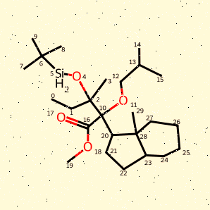 CCC(C)(O[SiH2]C(C)(C)C)C(OCC(C)C)(C(=O)OC)C1CCC2CCCCC21C